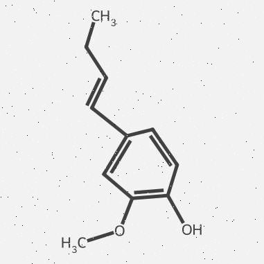 CCC=Cc1ccc(O)c(OC)c1